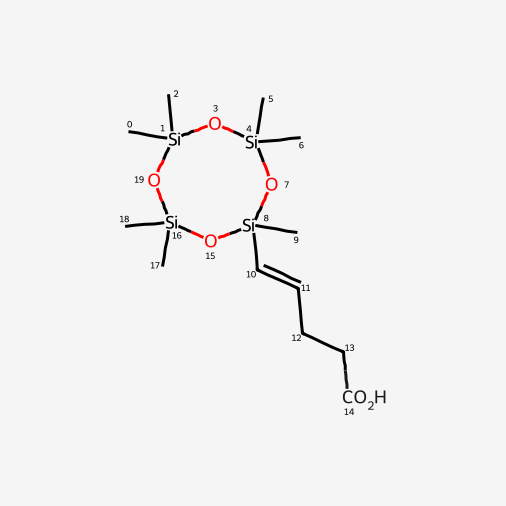 C[Si]1(C)O[Si](C)(C)O[Si](C)(C=CCCC(=O)O)O[Si](C)(C)O1